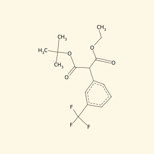 CCOC(=O)C(C(=O)OC(C)(C)C)c1cccc(C(F)(F)F)c1